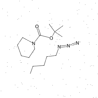 CC(C)(C)OC(=O)N1CCCCC1.CCCCCN=[N+]=[N-]